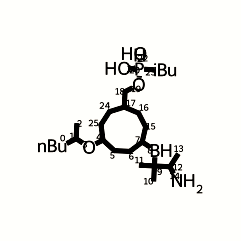 CCCCC(C)OC1CCC(BC(C)(C)C(C)N)CCC(CO[PH](O)(O)C(C)CC)CC1